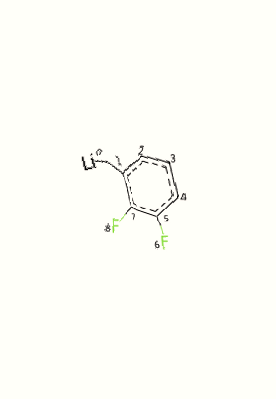 [Li][c]1cccc(F)c1F